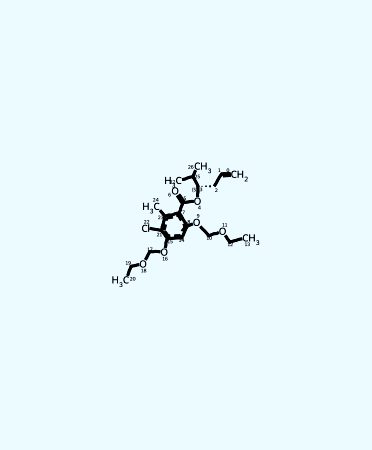 C=CC[C@H](OC(=O)c1c(OCOCC)cc(OCOCC)c(Cl)c1C)C(C)C